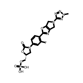 Cn1nnc(N2Cc3nc(-c4ccc(N5C[C@H](COP(=O)(O)O)OC5=O)cc4F)oc3C2)n1